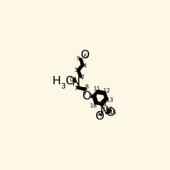 CN(CCCC=O)CCOc1cccc([N+](=O)[O-])c1